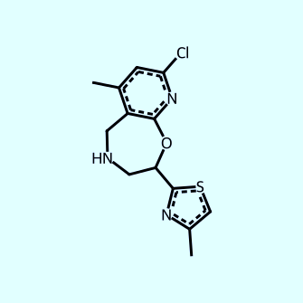 Cc1csc(C2CNCc3c(C)cc(Cl)nc3O2)n1